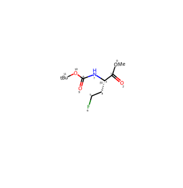 COC(=O)[C@H](CCF)NC(=O)OC(C)(C)C